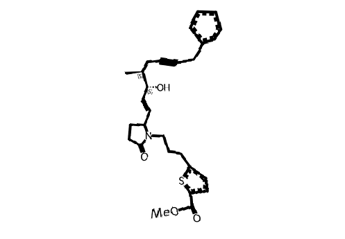 COC(=O)c1ccc(CCCN2C(=O)CCC2C=C[C@@H](O)[C@@H](C)CC#CCc2ccccc2)s1